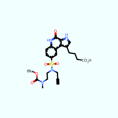 C#CCN(CCN(C)C(=O)OC(C)(C)C)S(=O)(=O)c1ccc2[nH]c(=O)c3[nH]cc(CCCC(=O)O)c3c2c1